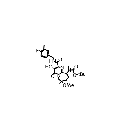 COC1(C)CCC(N(C)C(=O)OC(C)(C)C)c2nc(C(=O)NCc3ccc(F)c(C)c3)c(O)c(=O)n2C1